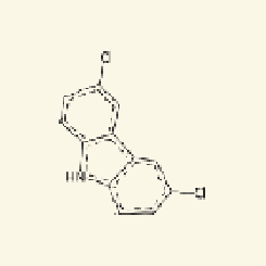 Clc1c[c]c2[nH]c3ccc(Cl)cc3c2c1